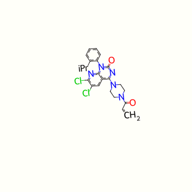 C=CC(=O)N1CCN(c2nc(=O)n(-c3ccccc3C(C)C)c3nc(Cl)c(Cl)cc23)CC1